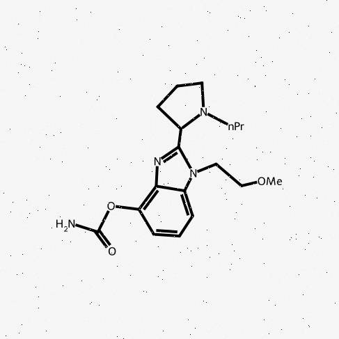 CCCN1CCCC1c1nc2c(OC(N)=O)cccc2n1CCOC